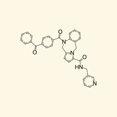 O=C(c1ccccc1)c1ccc(C(=O)N2Cc3ccc(C(=O)NCc4cccnc4)n3Cc3ccccc32)cc1